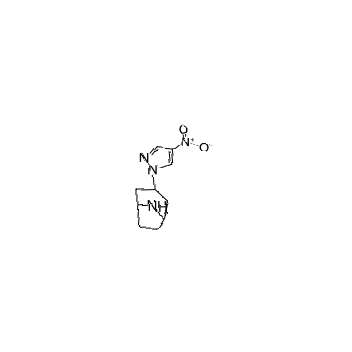 O=[N+]([O-])c1cnn(C2CC3CCC(C2)N3)c1